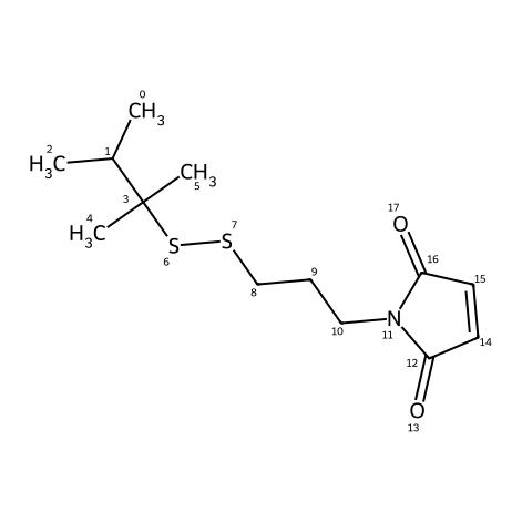 CC(C)C(C)(C)SSCCCN1C(=O)C=CC1=O